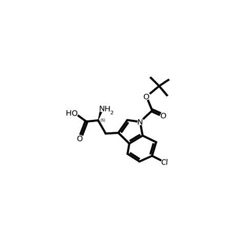 CC(C)(C)OC(=O)n1cc(C[C@H](N)C(=O)O)c2ccc(Cl)cc21